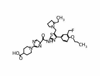 CCCOc1ccc(-c2nc(NC(=O)c3cnc(N4CCC(C(=O)O)CC4)cn3)sc2CN2CCC[C@H]2CC)cc1CF